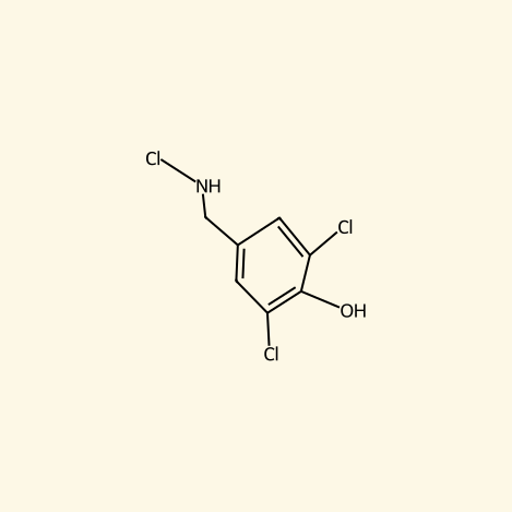 Oc1c(Cl)cc(CNCl)cc1Cl